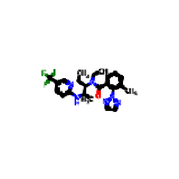 CCC(C(C)Nc1ccc(C(F)(F)F)cn1)N(CC)C(=O)c1cccc(C)c1-n1nccn1